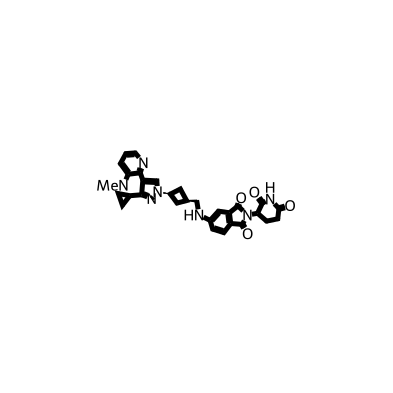 CNc1cccnc1-c1cn([C@H]2C[C@H](CNc3ccc4c(c3)C(=O)N(C3CCC(=O)NC3=O)C4=O)C2)nc1C1CC1